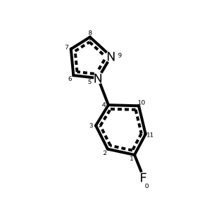 Fc1ccc(-n2cc[c]n2)cc1